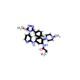 C=CC(=O)Nc1cc(Nc2cc(-n3c(SC)nnc3-c3ccc(F)cc3)ccn2)ccc1N1CCN(C)CC1